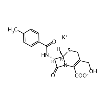 Cc1ccc(C(=O)N[C@H]2C(=O)N3C(C(=O)[O-])=C(CO)CS[C@@H]23)cc1.[K+]